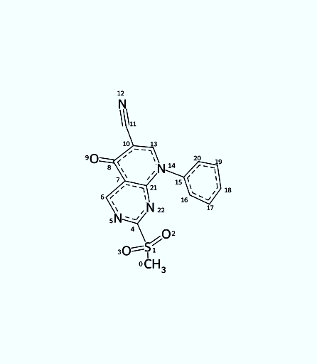 CS(=O)(=O)c1ncc2c(=O)c(C#N)cn(-c3ccccc3)c2n1